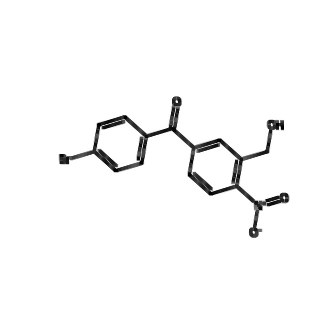 O=C(c1ccc(Br)cc1)c1ccc([N+](=O)[O-])c(CO)c1